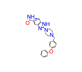 NC(=O)c1ccc2[nH]c(N3CCN(Cc4ccc(Oc5ccccc5)cc4)CC3)nc2c1